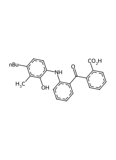 CCCCc1ccc(Nc2ccccc2C(=O)c2ccccc2C(=O)O)c(O)c1C